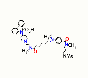 CNCCCN(C)C(=O)c1ccc(N(C)CCCCCCC(=O)N(C)CCN2CCC(N(C(=O)O)c3ccccc3-c3ccccc3)CC2)cc1